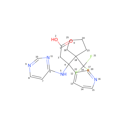 O=C(O)CC(Nc1ccncn1)(c1cccnc1)C1(C(F)(F)F)CCCC1